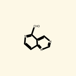 O=Cc1nccc2ncncc12